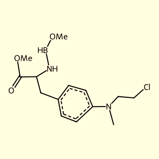 COBNC(Cc1ccc(N(C)CCCl)cc1)C(=O)OC